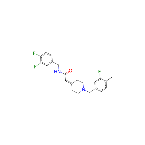 Cc1ccc(CN2CCC(=CC(=O)NCc3ccc(F)c(F)c3)CC2)cc1F